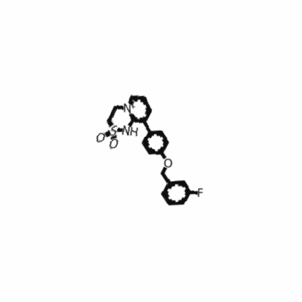 O=S1(=O)CC[n+]2cccc(-c3ccc(OCc4cccc(F)c4)cc3)c2N1